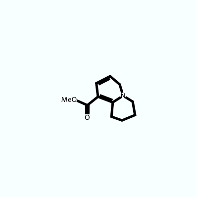 COC(=O)C1=C2CCCCN2CC=C1